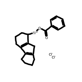 O=C([O][Ti+2][CH]1CCCC2=C1CC1=C2CCCC1)c1ccccc1.[Cl-].[Cl-]